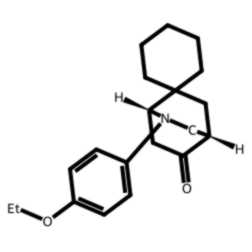 CCOc1ccc(N2C[C@@H]3CC4(CCCCC4)[C@H]2CC3=O)cc1